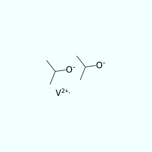 CC(C)[O-].CC(C)[O-].[V+2]